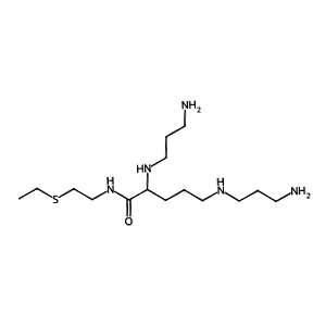 CCSCCNC(=O)C(CCCNCCCN)NCCCN